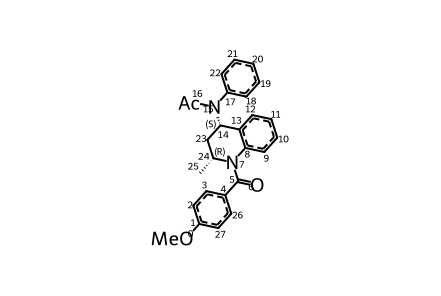 COc1ccc(C(=O)N2c3ccccc3[C@@H](N(C(C)=O)c3ccccc3)C[C@H]2C)cc1